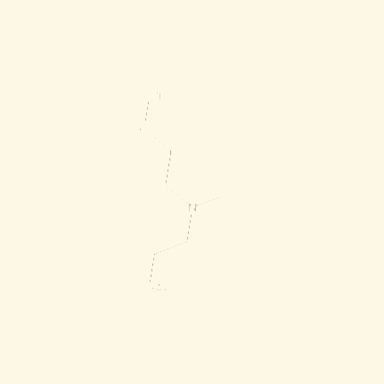 CC(=O)OCCN(C)CCOC(C)C